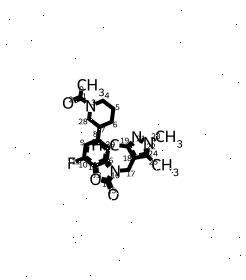 CC(=O)N1CCCC(c2cc(F)c3oc(=O)n(Cc4c(C)nn(C)c4C)c3c2)C1